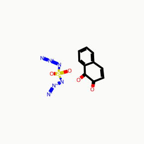 O=C1C=Cc2ccccc2C1=O.[N-]=[N+]=NS(=O)(=O)N=[N+]=[N-]